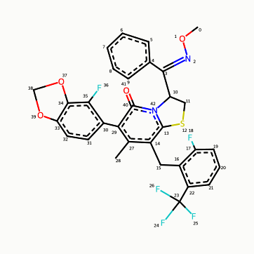 CO/N=C(\c1ccccc1)C1CSc2c(Cc3c(F)cccc3C(F)(F)F)c(C)c(-c3ccc4c(c3F)OCO4)c(=O)n21